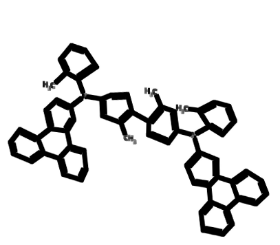 Cc1cc(N(c2ccc3c4ccccc4c4ccccc4c3c2)c2ccccc2C)ccc1-c1ccc(N(c2ccc3c4ccccc4c4ccccc4c3c2)c2ccccc2C)cc1C